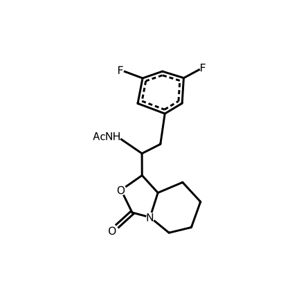 CC(=O)NC(Cc1cc(F)cc(F)c1)C1OC(=O)N2CCCCC12